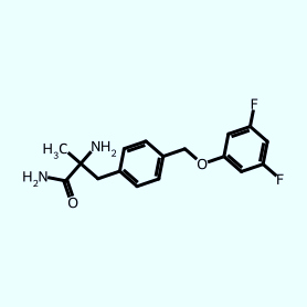 CC(N)(Cc1ccc(COc2cc(F)cc(F)c2)cc1)C(N)=O